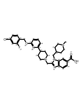 CN1CCC(Cn2c(CN3CCC(c4cccc(OCc5ccc(Cl)cc5F)n4)CC3)nc3ccc(C(=O)O)cc32)CC1